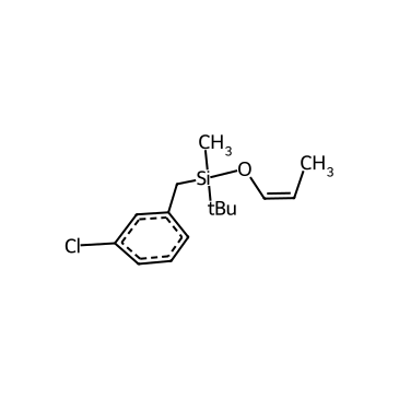 C/C=C\O[Si](C)(Cc1cccc(Cl)c1)C(C)(C)C